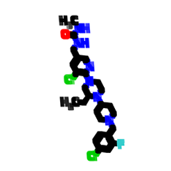 CC[C@H]1CN(c2ncc(CNC(=O)NC)cc2Cl)CCN1C1CCN(Cc2ccc(Cl)cc2F)CC1